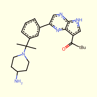 CC(C)(C)C(=O)c1c[nH]c2ncc(-c3cccc(C(C)(C)N4CCC(N)CC4)c3)nc12